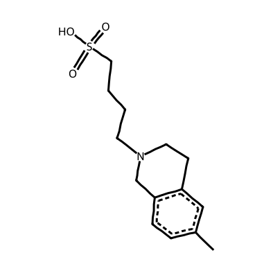 Cc1ccc2c(c1)CCN(CCCCS(=O)(=O)O)C2